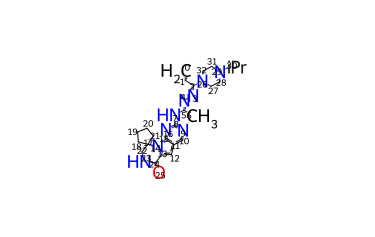 C=C/C(=N\N=C(/C)Nc1ncc2cc3n(c2n1)C1(CCCC1)CNC3=O)N1CCN(C(C)C)CC1